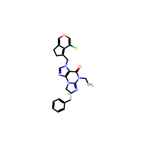 CCN1C(=O)c2c(ncn2CC2=C3C(Cl)=COC=C3CC2)N2C[C@@H](Cc3ccccc3)N=C12